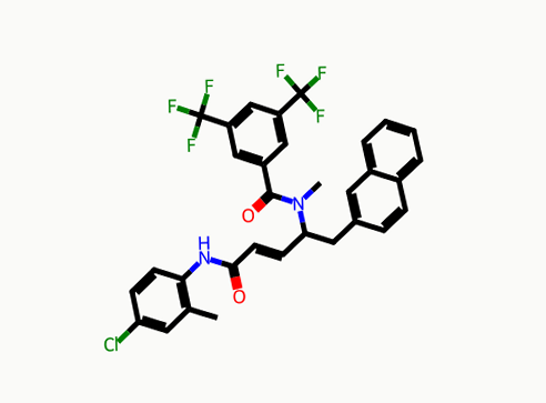 Cc1cc(Cl)ccc1NC(=O)C=CC(Cc1ccc2ccccc2c1)N(C)C(=O)c1cc(C(F)(F)F)cc(C(F)(F)F)c1